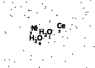 O.O.[Ce].[Ni]